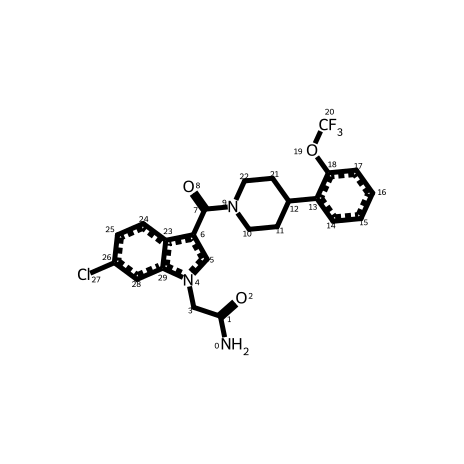 NC(=O)Cn1cc(C(=O)N2CCC(c3ccccc3OC(F)(F)F)CC2)c2ccc(Cl)cc21